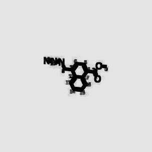 COC(=O)c1ccc(CN=[N+]=[N-])c2ccccc12